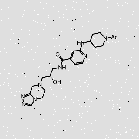 CC(=O)N1CCC(Nc2cc(C(=O)NC[C@H](O)CN3CCn4cnnc4C3)ccn2)CC1